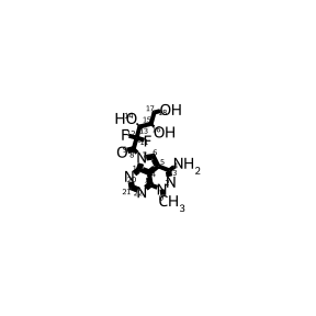 CN1N=C(N)c2cn(C(=O)C(F)(F)[C@H](O)[C@H](O)CO)c3ncnc1c23